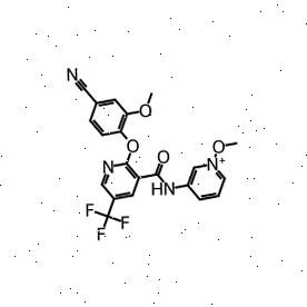 COc1cc(C#N)ccc1Oc1ncc(C(F)(F)F)cc1C(=O)Nc1ccc[n+](OC)c1